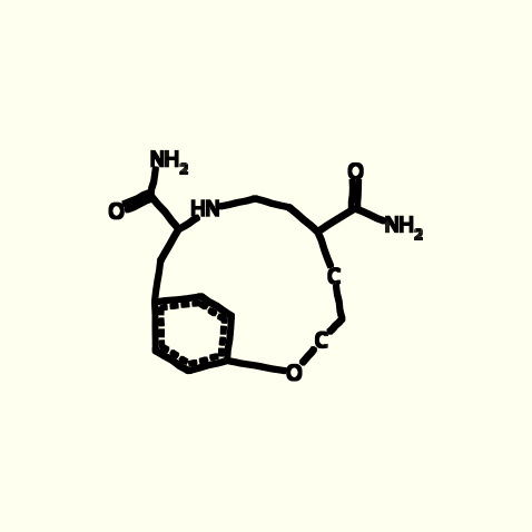 NC(=O)C1CCCOc2ccc(cc2)CC(C(N)=O)NCC1